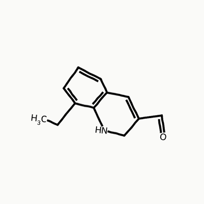 CCc1cccc2c1NCC(C=O)=C2